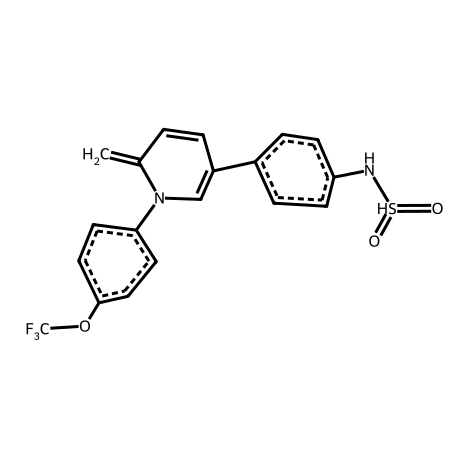 C=C1C=CC(c2ccc(N[SH](=O)=O)cc2)=CN1c1ccc(OC(F)(F)F)cc1